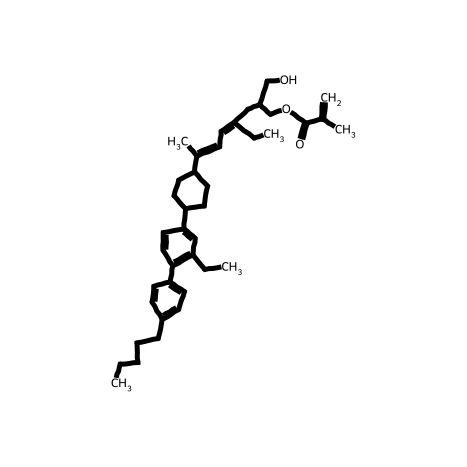 C=C(C)C(=O)OCC(CO)C/C(=C/C=C(\C)C1CCC(c2ccc(-c3ccc(CCCCC)cc3)c(CC)c2)CC1)CC